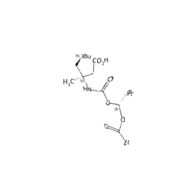 CCC(=O)O[C@H](OC(=O)N[C@](C)(CC(=O)O)C[C@H](C)CC)C(C)C